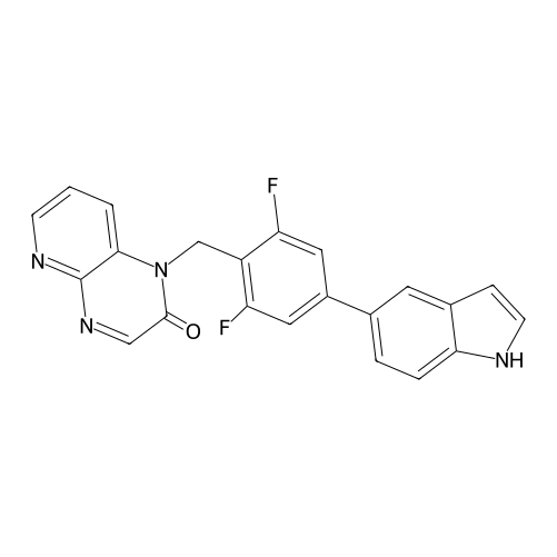 O=c1cnc2ncccc2n1Cc1c(F)cc(-c2ccc3[nH]ccc3c2)cc1F